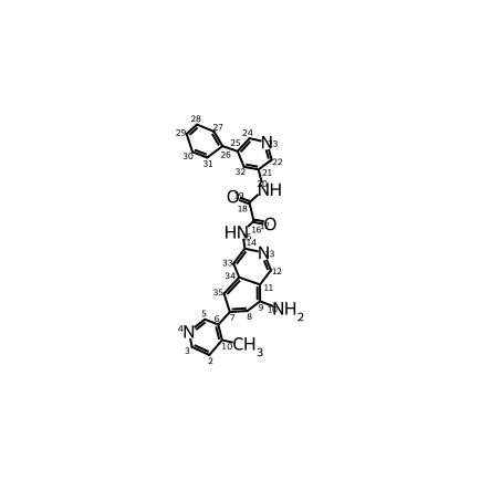 Cc1ccncc1-c1cc(N)c2cnc(NC(=O)C(=O)Nc3cncc(-c4ccccc4)c3)cc2c1